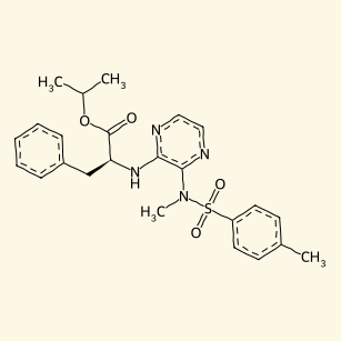 Cc1ccc(S(=O)(=O)N(C)c2nccnc2N[C@@H](Cc2ccccc2)C(=O)OC(C)C)cc1